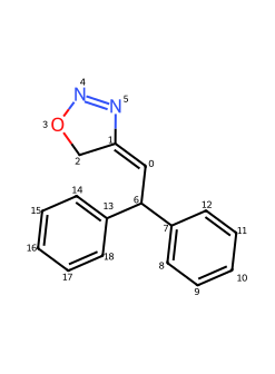 C(=C1CON=N1)C(c1ccccc1)c1ccccc1